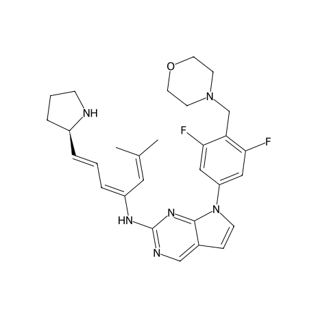 CC(C)=C/C(=C\C=C\[C@H]1CCCN1)Nc1ncc2ccn(-c3cc(F)c(CN4CCOCC4)c(F)c3)c2n1